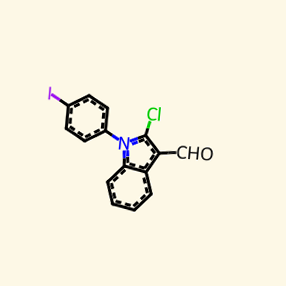 O=Cc1c(Cl)n(-c2ccc(I)cc2)c2ccccc12